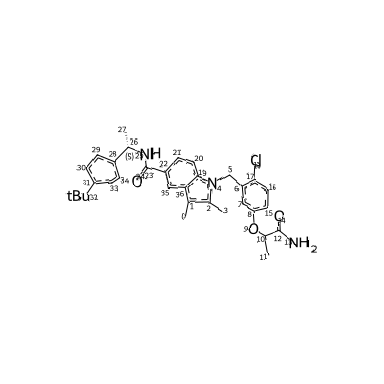 Cc1c(C)n(Cc2cc(OC(C)C(N)=O)ccc2Cl)c2ccc(C(=O)N[C@@H](C)c3ccc(C(C)(C)C)cc3)cc12